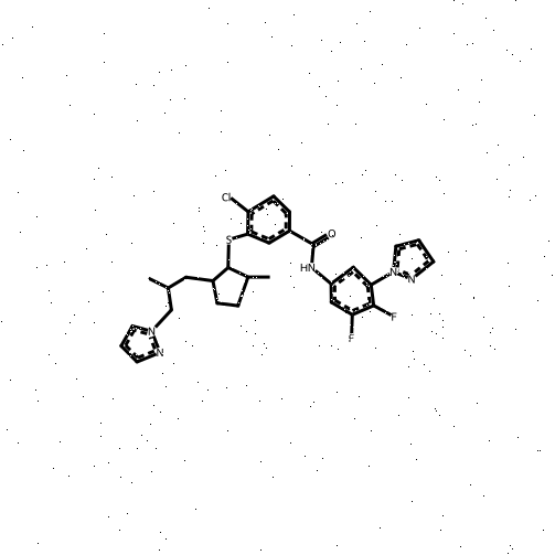 CC(CC1CCC(C)C1Sc1cc(C(=O)Nc2cc(F)c(F)c(-n3cccn3)c2)ccc1Cl)Cn1cccn1